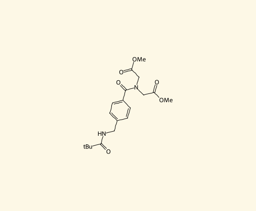 COC(=O)CN(CC(=O)OC)C(=O)c1ccc(CNC(=O)C(C)(C)C)cc1